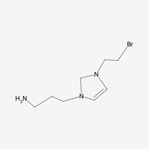 NCCCN1C=CN(CCBr)C1